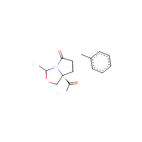 COC(=O)[C@@]12COC(C(C)(C)C)N1C(=O)[C@H](Cc1ccccc1)C2